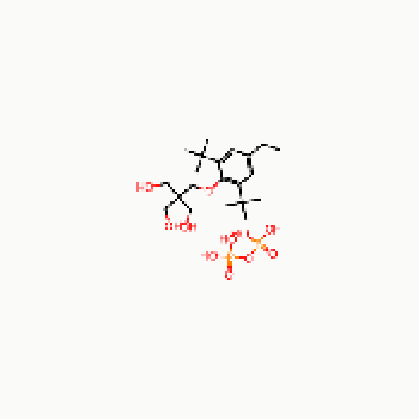 CCc1cc(C(C)(C)C)c(OCC(CO)(CO)CO)c(C(C)(C)C)c1.O=P(O)(O)OP(=O)(O)O